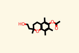 CC(=O)Oc1c(C)c(C)c2c(c1C)CCC(C)(CCO)O2